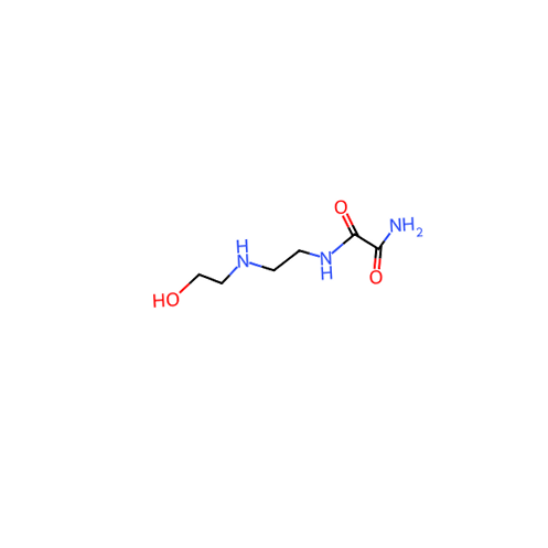 NC(=O)C(=O)NCCNCCO